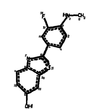 CNc1ccc(-c2nc3ccc(O)cc3s2)cc1F